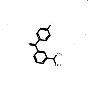 NC(C(=O)O)c1cccc(C(=O)c2ccc(F)cc2)c1